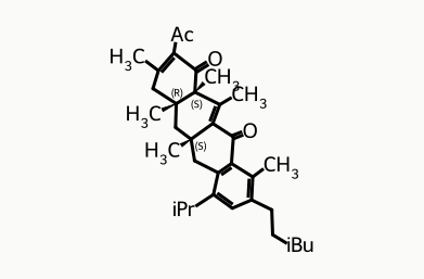 CCC(C)CCc1cc(C(C)C)c2c(c1C)C(=O)C1=C(C)[C@@]3(C)C(=O)C(C(C)=O)=C(C)C[C@@]3(C)C[C@@]1(C)C2